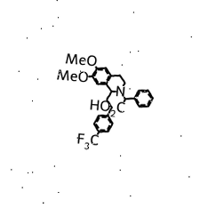 COc1cc2c(cc1OC)C(CCc1ccc(C(F)(F)F)cc1)N(C(C(=O)O)c1ccccc1)CC2